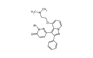 CC(C)n1nc(-c2c(-c3ccccc3)nn3cccc(OCCN(C)C)c23)ccc1=O